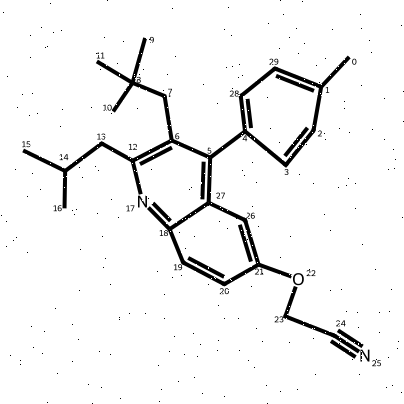 Cc1ccc(-c2c([CH]C(C)(C)C)c(CC(C)C)nc3ccc(OCC#N)cc23)cc1